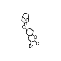 O=c1oc2ccc(OC3CC4CCC(C3)N4)cc2cc1Br